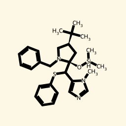 Cn1cncc1C(Sc1ccccc1)[C@@]1(O[SiH](C)C)C[C@H](C(C)(C)C)CN1Cc1ccccc1